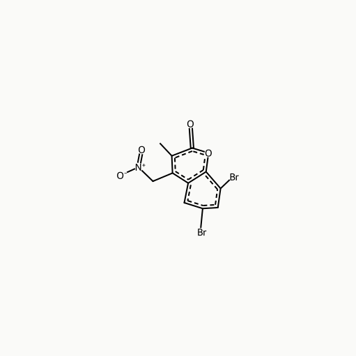 Cc1c(C[N+](=O)[O-])c2cc(Br)cc(Br)c2oc1=O